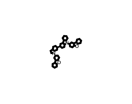 c1ccc2c(c1)oc1ccc(-n3ccc4ccc(-c5ccc6c(c5)c5ccccc5n6-c5ccc6oc7ccccc7c6c5)cc43)cc12